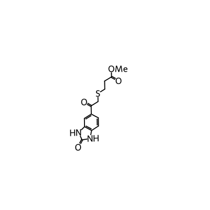 COC(=O)CCSCC(=O)c1ccc2[nH]c(=O)[nH]c2c1